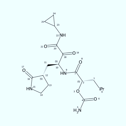 CC(C)C[C@H](OC(N)=O)C(=O)N[C@@H](C[C@@H]1CCNC1=O)C(=O)C(=O)NC1CC1